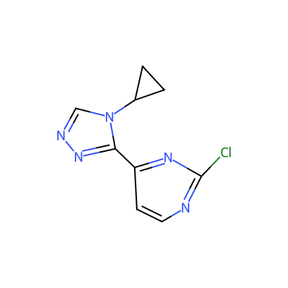 Clc1nccc(-c2nncn2C2CC2)n1